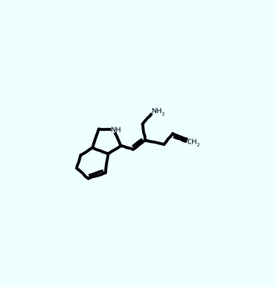 C=CCC(=CC1NCC2CCC=CC21)CN